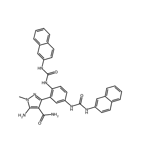 Cn1nc(-c2cc(NC(=O)Nc3ccc4ccccc4c3)ccc2NC(=O)Nc2ccc3ccccc3c2)c(C(N)=O)c1N